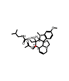 CC[C@]12C=CCN3CC[C@@]4(c5ccc(OC)cc5N(C)[C@H]4C(O)(COC(=O)NCC(C)C)[C@@H]1OC(C)=O)C32